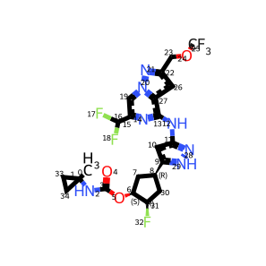 CC1(NC(=O)O[C@H]2C[C@@H](c3cc(Nc4nc(C(F)F)cn5nc(COC(F)(F)F)cc45)n[nH]3)C[C@H]2F)CC1